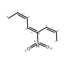 C\C=C/C=C(\C=C/C)[SH](=O)=O